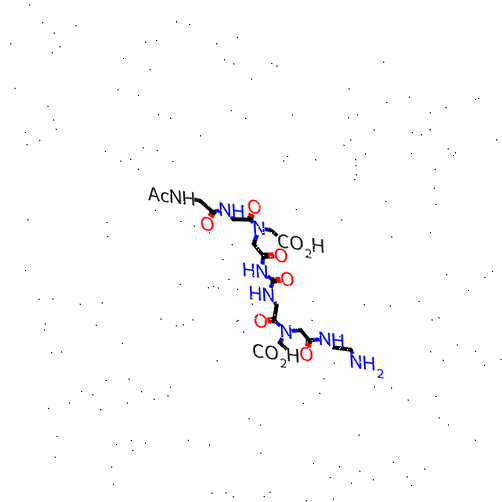 CC(=O)NCC(=O)NCC(=O)N(CC(=O)O)CC(=O)NC(=O)NCC(=O)N(CC(=O)O)CC(=O)NCCN